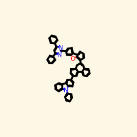 C1=C(c2cccc3c2oc2cc(-c4nc(-c5ccccc5)cc(-c5ccccc5)n4)ccc23)Cc2ccc(-c3ccc4c(c3)c3ccccc3n4-c3ccccc3)cc2-c2ccccc21